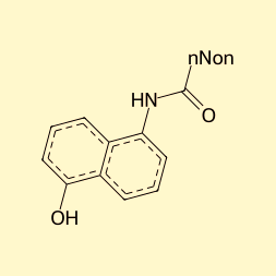 CCCCCCCCCC(=O)Nc1cccc2c(O)cccc12